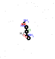 Cc1cc(-c2cccc(NS(=O)(=O)CCN)c2)c(Cl)cc1C1=C(N)C2(CCCCC2)OC1=O